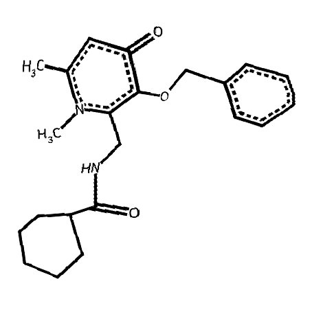 Cc1cc(=O)c(OCc2ccccc2)c(CNC(=O)C2CCCCC2)n1C